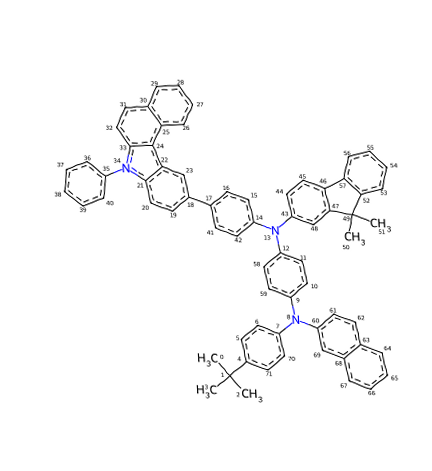 CC(C)(C)c1ccc(N(c2ccc(N(c3ccc(-c4ccc5c(c4)c4c6ccccc6ccc4n5-c4ccccc4)cc3)c3ccc4c(c3)C(C)(C)c3ccccc3-4)cc2)c2ccc3ccccc3c2)cc1